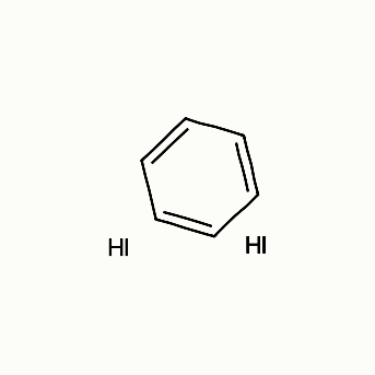 I.I.c1ccccc1